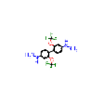 NNc1ccc(-c2ccc(NN)cc2OC(F)(F)F)c(OC(F)(F)F)c1